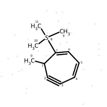 CC1C#CC=CC=C1S(C)(C)C